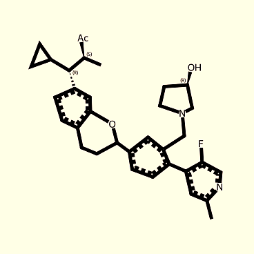 CC(=O)[C@@H](C)[C@H](c1ccc2c(c1)OC(c1ccc(-c3cc(C)ncc3F)c(CN3CC[C@@H](O)C3)c1)CC2)C1CC1